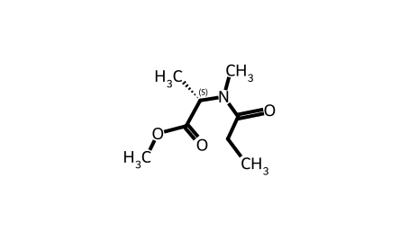 CCC(=O)N(C)[C@@H](C)C(=O)OC